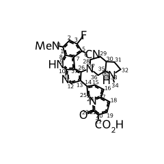 CNc1cc(F)c(C#N)c2c1[nH]c1ncc(-c3ccc4ccc(C(=O)O)c(=O)n4c3)c(N3CCC4CCN(C)[C@H]4C3)c12